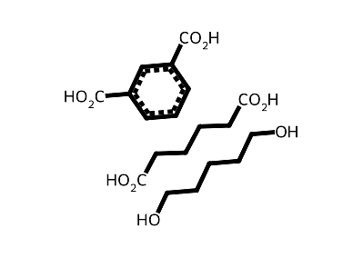 O=C(O)CCCCC(=O)O.O=C(O)c1cccc(C(=O)O)c1.OCCCCCO